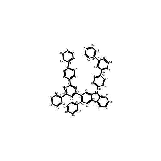 c1ccc(-c2ccc(-c3nc(-c4ccccc4)nc(-c4cc5c(cc4-c4ccccc4)c4ccccc4n5-c4ccc(-c5cccc(-c6ccccc6)c5)cc4)n3)cc2)cc1